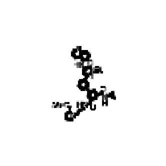 CCn1nc(-c2cccc(-c3cc(C(=O)NCCCN4CCC[C@H]4COC)cc(C(=O)NC4CC4)c3)c2)cc(Nc2cccc3ncccc23)c1=O